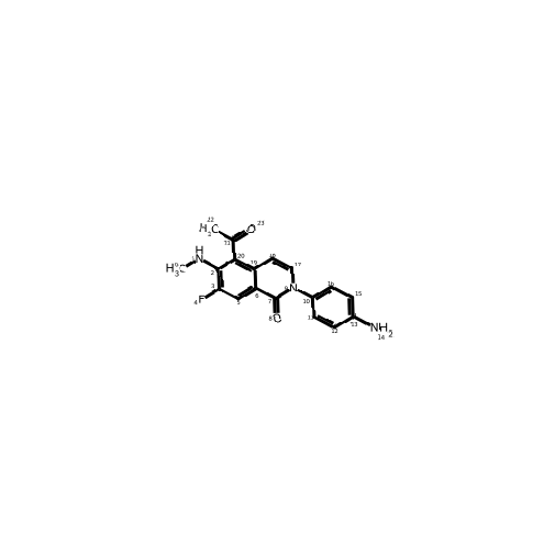 CNc1c(F)cc2c(=O)n(-c3ccc(N)cc3)ccc2c1C(C)=O